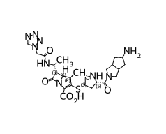 CC(NC(=O)Cn1cnnn1)[C@H]1C(=O)N2C(C(=O)O)=C(S[C@@H]3CN[C@H](C(=O)N4CC5CC(N)CC5C4)C3)[C@H](C)[C@H]12